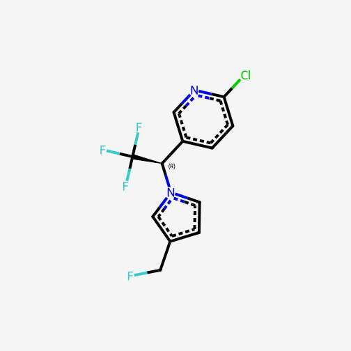 FCc1ccn([C@H](c2ccc(Cl)nc2)C(F)(F)F)c1